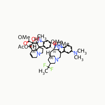 CC[C@]12C=CCN3CC[C@@]4(c5cc([C@@]6(C(=O)OC)C[C@H]7CC(C(C)(F)F)CN(Cc8c6[nH]c6ccc(N(C)C)cc86)C7)c(OC)cc5N(C)[C@H]4[C@@](O)(C(=O)OC)[C@@H]1OC(C)=O)[C@@H]32